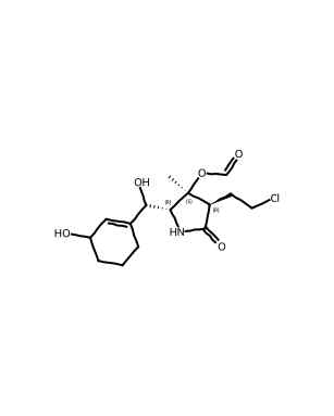 C[C@@]1(OC=O)[C@@H](C(O)C2=CC(O)CCC2)NC(=O)[C@@H]1CCCl